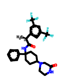 C[C@H](C(=O)NC1(c2ccccc2)CCC(N2CCNC(=O)C2)CC1)c1cc(C(F)(F)F)cc(C(F)(F)F)c1